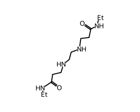 CCNC(=O)CCNCCNCCC(=O)NCC